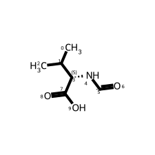 CC(C)[C@H](N[C]=O)C(=O)O